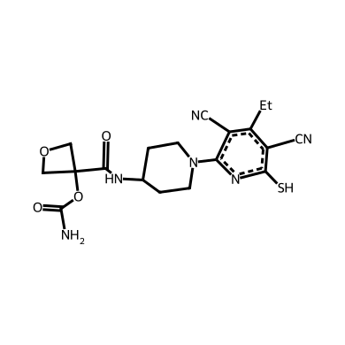 CCc1c(C#N)c(S)nc(N2CCC(NC(=O)C3(OC(N)=O)COC3)CC2)c1C#N